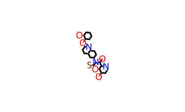 COc1ccccc1Oc1ccc2cc(-n3c(=S)oc4c(OC)ccnc4c3=O)ccc2n1